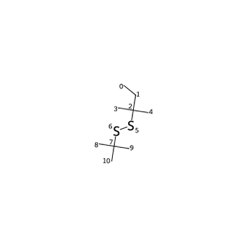 CCC(C)(C)SSC(C)(C)C